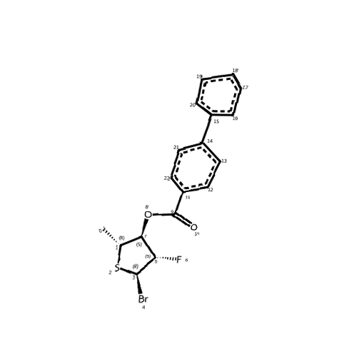 [CH2][C@H]1S[C@H](Br)[C@@H](F)[C@@H]1OC(=O)c1ccc(-c2ccccc2)cc1